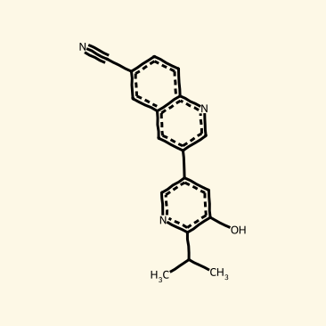 CC(C)c1ncc(-c2cnc3ccc(C#N)cc3c2)cc1O